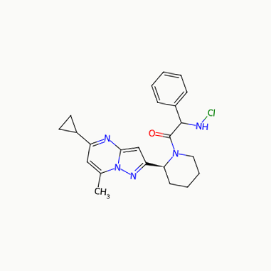 Cc1cc(C2CC2)nc2cc([C@@H]3CCCCN3C(=O)C(NCl)c3ccccc3)nn12